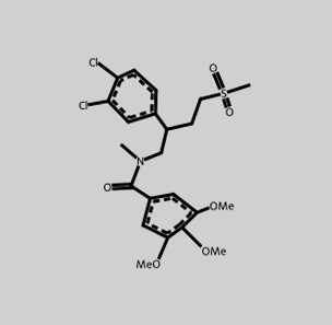 COc1cc(C(=O)N(C)CC(CCS(C)(=O)=O)c2ccc(Cl)c(Cl)c2)cc(OC)c1OC